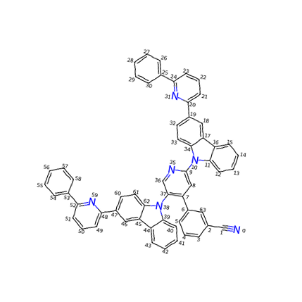 N#Cc1cccc(-c2cc(-n3c4ccccc4c4cc(-c5cccc(-c6ccccc6)n5)ccc43)ncc2-n2c3ccccc3c3cc(-c4cccc(-c5ccccc5)n4)ccc32)c1